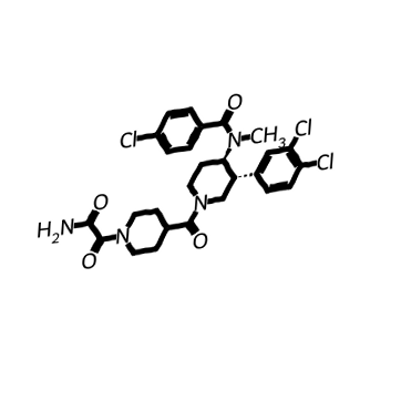 CN(C(=O)c1ccc(Cl)cc1)[C@@H]1CCN(C(=O)C2CCN(C(=O)C(N)=O)CC2)C[C@H]1c1ccc(Cl)c(Cl)c1